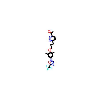 CC(=O)c1ccc(CCCOc2c(C)cc(N3CN=C(C(F)(F)F)O3)cc2C)nn1